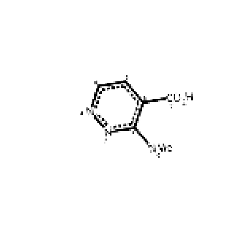 CNc1nnccc1C(=O)O